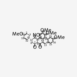 COC1=CCC([C@H]2CC(=O)C(C(=O)/C=C/c3ccc(OC)cc3)[C@H](c3ccc(OC)c(OC)c3)[C@H]2[N+](=O)[O-])C=C1